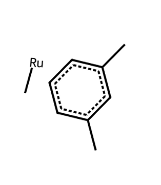 Cc1cccc(C)c1.[CH3][Ru]